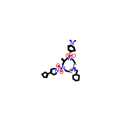 C=C1CN(S(=O)(=O)c2ccc(N(C)C)cc2)CCCN(CC2CCCCC2)CCCN(S(=O)(=O)N2CC=C(C3=CCCC3)CC2)C1